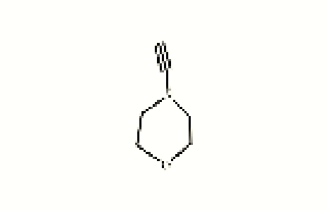 [C]#CN1CCOCC1